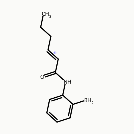 Bc1ccccc1NC(=O)/C=C/CCC